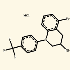 Cl.NC1Cc2c(Br)cccc2N(c2ccc(C(F)(F)F)cc2)C1